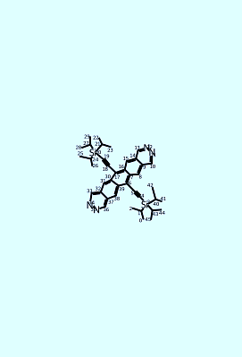 CC(C)[Si](C#Cc1c2cc3cnncc3cc2c(C#C[Si](C(C)C)(C(C)C)C(C)C)c2cc3cnncc3cc12)(C(C)C)C(C)C